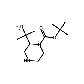 CC(C)(C)OC(=O)N1CCNCC1C(C)(C)N